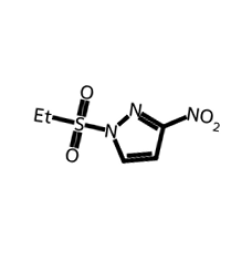 CCS(=O)(=O)n1ccc([N+](=O)[O-])n1